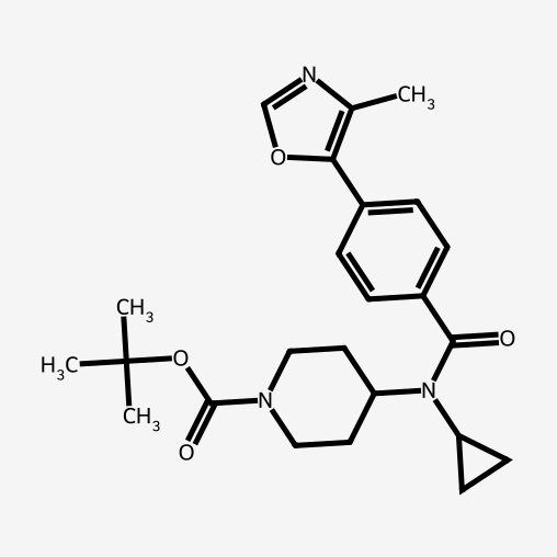 Cc1ncoc1-c1ccc(C(=O)N(C2CC2)C2CCN(C(=O)OC(C)(C)C)CC2)cc1